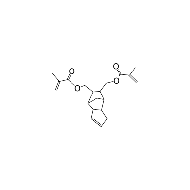 C=C(C)C(=O)OCC1C2CC(C3CC=CC23)C1COC(=O)C(=C)C